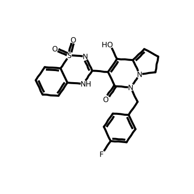 O=C1C(C2=NS(=O)(=O)c3ccccc3N2)=C(O)C2=CCCN2N1Cc1ccc(F)cc1